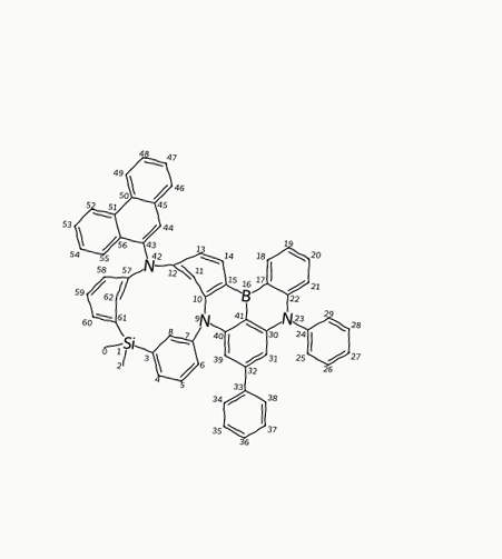 C[Si]1(C)c2cccc(c2)N2c3cc(ccc3B3c4ccccc4N(c4ccccc4)c4cc(-c5ccccc5)cc2c43)N(c2cc3ccccc3c3ccccc23)c2cccc1c2